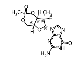 C[C@@]1(F)[C@@H]2OP(C)(=O)OC[C@H]2O[C@H]1n1cnc2c(=O)[nH]c(N)nc21